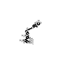 COc1cc(-c2cn(C)c(=O)c3cnc(N(C)C)cc23)cc(OC)c1CN1CCC2(CC1)CN(C(=O)CCCCOc1ccc3c(c1)C(=O)N(C1CCC(=O)NC1=O)C3=O)CCO2